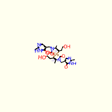 C/C(=C(\CCO)S[S+]([O-])/C(CCO)=C(/C)N(C=O)Cc1cnc(C)[nH]c1=O)N(C=O)Cc1cnc(C)[nH]c1=O